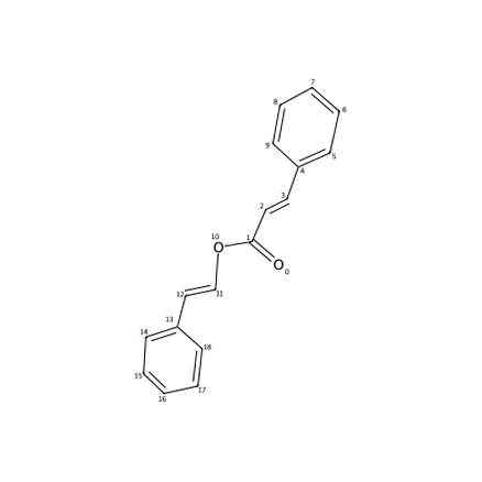 O=C(C=Cc1ccccc1)OC=Cc1ccccc1